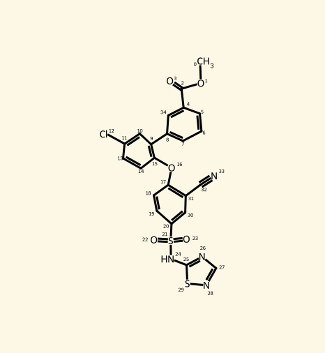 COC(=O)c1cccc(-c2cc(Cl)ccc2Oc2ccc(S(=O)(=O)Nc3ncns3)cc2C#N)c1